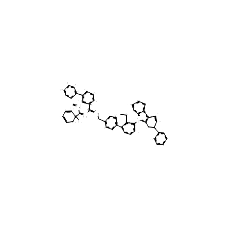 C=N/C(=N\C(=N/Cc1ccc(-c2cccc(-n3c4c(c5ccccc53)C=CC(c3ccccc3)C4)c2CC)cc1)c1cccc(-c2ccccc2)c1)C1(C)C=CC=CC1